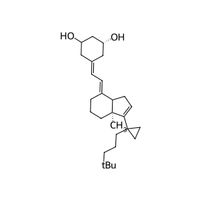 CC(C)(C)CCCC1(C2=CCC3/C(=C/C=C4/CC(O)C[C@H](O)C4)CCC[C@]23C)CC1